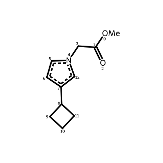 COC(=O)Cn1ccc(C2CCC2)c1